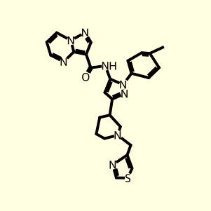 Cc1ccc(-n2nc(C3CCCN(Cc4cscn4)C3)cc2NC(=O)c2cnn3cccnc23)cc1